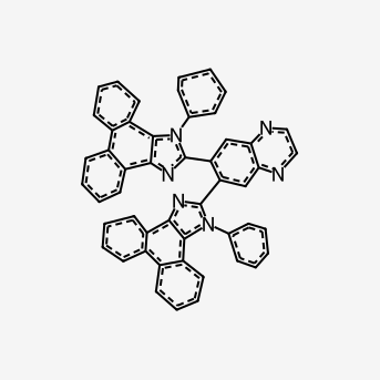 c1ccc(-n2c(-c3cc4nccnc4cc3-c3nc4c5ccccc5c5ccccc5c4n3-c3ccccc3)nc3c4ccccc4c4ccccc4c32)cc1